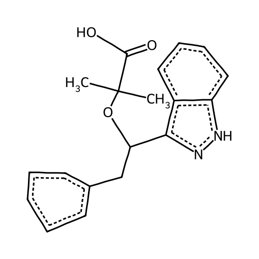 CC(C)(OC(Cc1ccccc1)c1n[nH]c2ccccc12)C(=O)O